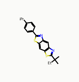 CCC(C)(C)c1nc2cc3nc(-c4ccc(C(C)C)cc4)sc3cc2s1